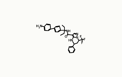 CCC(CC)(NC(=O)c1cnn2c1NC(c1ccccc1)CC2C(F)(F)F)c1ccc(-c2ccc(N)cc2)cc1